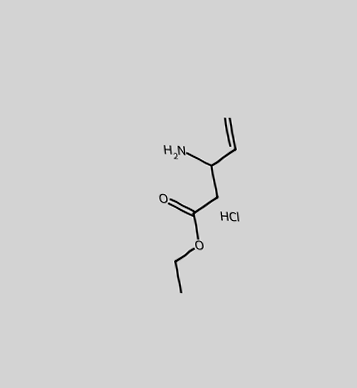 C=CC(N)CC(=O)OCC.Cl